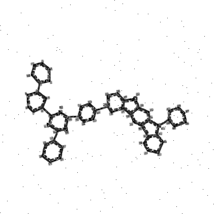 c1ccc(-c2cccc(-c3nc(-c4ccccc4)nc(-c4ccc(-c5ccc6oc7cc8c(cc7c6c5)c5ccccc5n8-c5ccccc5)cc4)n3)c2)cc1